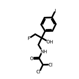 O=C(NCC(O)(CF)c1ccc(I)cc1)C(Cl)Cl